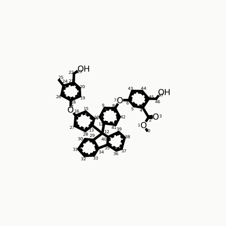 COC(=O)c1cc(Oc2ccc(C3(c4ccc(Oc5ccc(CO)c(C)c5)cc4)c4ccccc4-c4ccccc43)cc2)ccc1CO